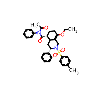 CCOC1=C2CN(S(=O)(=O)c3ccc(C)cc3)[C@H](c3ccccc3)CC2[C@H](C(=O)N(C(C)=O)c2ccccc2)CC1